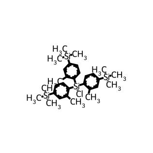 Cc1cc([Si](C)(C)C)ccc1[Si](Cl)(c1ccc([Si](C)(C)C)cc1C)c1ccc([Si](C)(C)C)cc1C